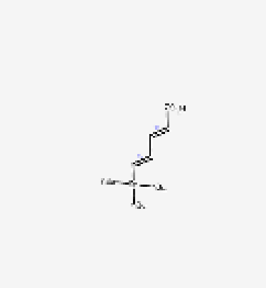 CCC[CH2][Sn](/[CH]=C/C=C/C(=O)O)([CH2]CCC)[CH2]CCC